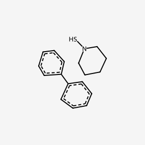 SN1CCCCC1.c1ccc(-c2ccccc2)cc1